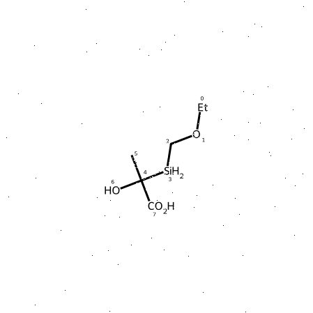 CCOC[SiH2]C(C)(O)C(=O)O